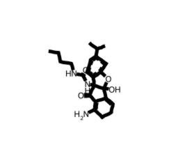 CCCCNC(=O)NC12C(=O)C3=C(N)CCC=C3C1(O)Oc1cc(C(C)C)ccc12